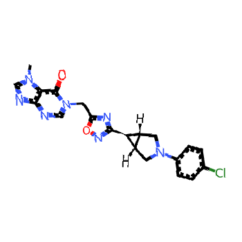 Cn1cnc2ncn(Cc3nc([C@H]4[C@@H]5CN(c6ccc(Cl)cc6)C[C@@H]54)no3)c(=O)c21